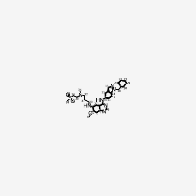 COc1cc2ncnc(Nc3ccc4c(cnn4Cc4ccccc4)c3)c2cc1NCCCN(C)CCS(C)(=O)=O